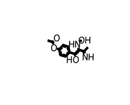 CC(=N)/C(NO)=C(\O)c1ccc(OC(C)=O)cc1